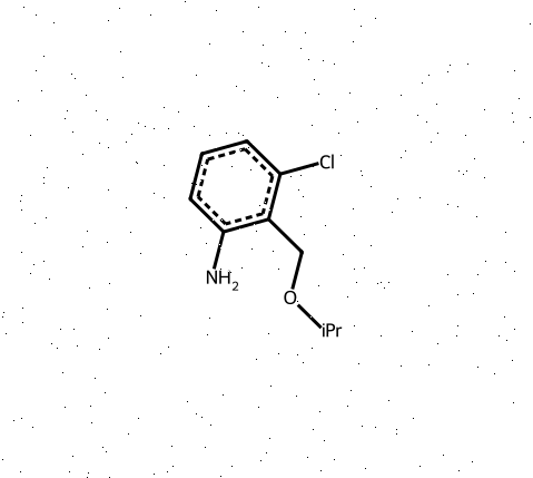 CC(C)OCc1c(N)cccc1Cl